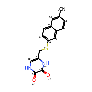 N#Cc1ccc2cc(SCc3c[nH]c(=O)c(=O)[nH]3)ccc2c1